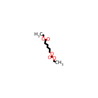 CCOC(=O)CCCCCOC(=O)OCC